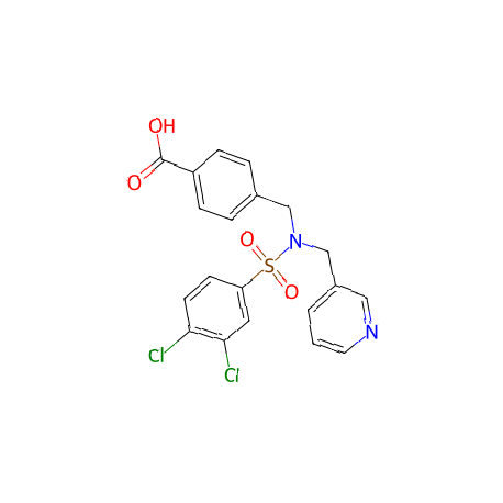 O=C(O)c1ccc(CN(Cc2cccnc2)S(=O)(=O)c2ccc(Cl)c(Cl)c2)cc1